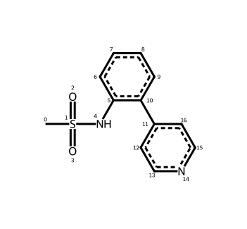 CS(=O)(=O)Nc1ccccc1-c1ccncc1